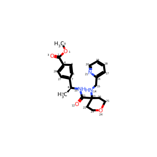 COC(=O)c1ccc([C@H](C)NC(=O)C2(NCc3ccccn3)CCOCC2)cc1